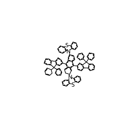 C1=CCC(C2(c3ccccc3)c3ccccc3-c3ccc(-c4c5c(c(-c6ccc7c(c6)C(c6ccccc6)(c6ccccc6)c6ccccc6-7)c6ccc(N7c8ccccc8Sc8ccccc87)cc46)=CC(N4c6ccccc6Sc6ccccc64)CC=5)cc32)C=C1